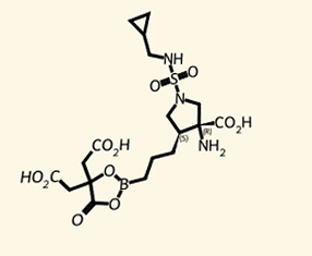 N[C@@]1(C(=O)O)CN(S(=O)(=O)NCC2CC2)C[C@@H]1CCCB1OC(=O)C(CC(=O)O)(CC(=O)O)O1